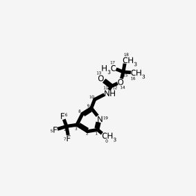 Cc1cc(C(F)(F)F)cc(CNC(=O)OC(C)(C)C)n1